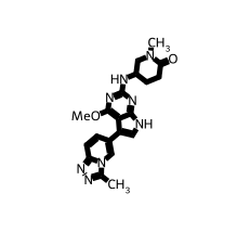 COc1nc(NC2CCC(=O)N(C)C2)nc2[nH]cc(-c3ccc4nnc(C)n4c3)c12